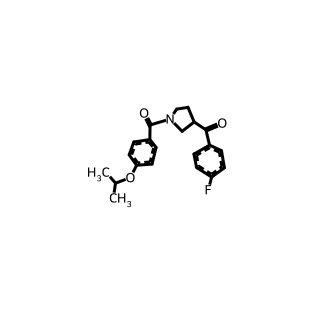 CC(C)Oc1ccc(C(=O)N2CCC(C(=O)c3ccc(F)cc3)C2)cc1